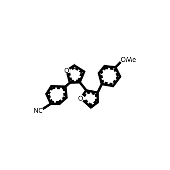 COc1ccc(-c2ccoc2-c2c[c]oc2-c2ccc(C#N)cc2)cc1